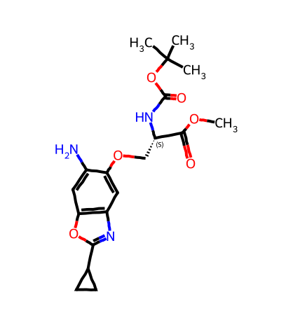 COC(=O)[C@H](COc1cc2nc(C3CC3)oc2cc1N)NC(=O)OC(C)(C)C